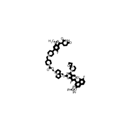 CCc1c(F)ccc2cc(O[Si](C(C)C)(C(C)C)C(C)C)cc(-c3ncc4c(N5CCC[C@]6(CCO6)C5)nc(OC[C@@]56CCCN5[C@H](COC(=O)N5CCC(CN7CCC(c8cc9c(cc8F)c(C8CCC(=O)NC8=O)nn9C)CC7)CC5)CC6)nc4c3F)c12